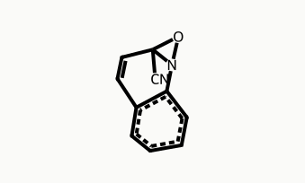 N#CC12C=Cc3ccccc3N1O2